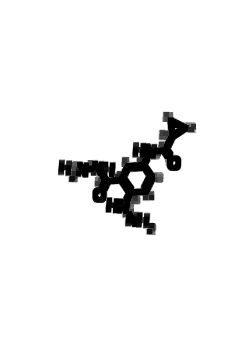 NNC(=O)c1cc(NC(=O)C2CC2)ccc1NN